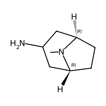 CN1[C@@H]2CC[C@@H]1CC(N)C2